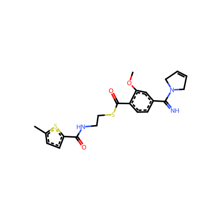 COc1cc(C(=N)N2CC=CC2)ccc1C(=O)SCCNC(=O)c1ccc(C)s1